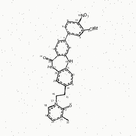 COc1cc(-c2ccc3c(c2)Nc2ccc(CCn4cccc(C)c4=O)cc2NC3=O)ccc1[N+](=O)[O-]